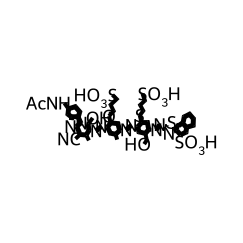 CC(=O)Nc1ccc2c(c1)nc1c(C#N)c(C)c(N=Nc3cc(C)c(N=Nc4cc(CO)c(N=Nc5nc6c(S(=O)(=O)O)cc7ccccc7c6s5)cc4SCCCS(=O)(=O)O)cc3OCCCS(=O)(=O)O)c(O)n12